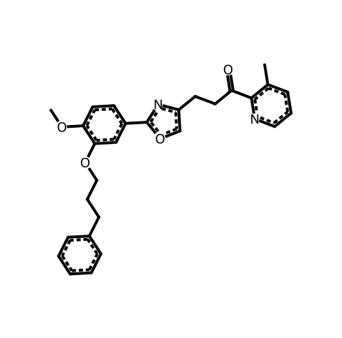 COc1ccc(-c2nc(CCC(=O)c3ncccc3C)co2)cc1OCCCc1ccccc1